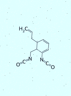 C=CC[C]1C=CC=C(N=C=O)C1CN=C=O